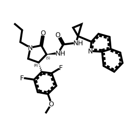 CCCN1C[C@@H](c2c(F)cc(OC)cc2F)[C@H](NC(=O)NC2(c3ccc4ccccc4n3)CC2)C1=O